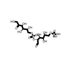 O=C[C@H](OP(=O)(O)OC[C@@H](O)[C@@H](O)[C@H](O)C(=O)CO)[C@@H](O)[C@H](O)[C@H](O)COP(=O)(O)O